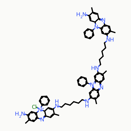 CC1=CC2=Nc3cc(C)c(NCCCCCCNc4cc5c(cc4C)nc4cc(C)c(NCCCCCCNC6=CC7C(=Nc8cc(C)c(N)cc8[N+]7(Cl)c7ccccc7)C=C6C)cc4[n+]5-c4ccccc4)cc3N(c3ccccc3)C2C=C1N